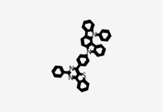 c1ccc(-c2nc(-c3ccc(-n4c5ccccc5c5c4ccc4c6ccccc6n(-c6ccccc6)c45)cc3)c3sc4ccccc4c3n2)cc1